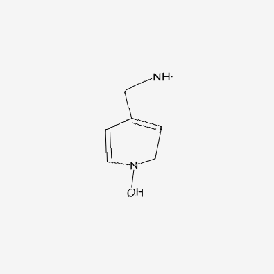 [NH]CC1=CCN(O)C=C1